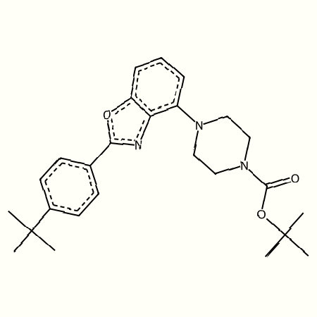 CC(C)(C)OC(=O)N1CCN(c2cccc3oc(-c4ccc(C(C)(C)C)cc4)nc23)CC1